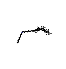 CCCCCCCC/C=C\CCCCCCCCOc1cc(C(=O)CC(=O)CC(=O)O)co1